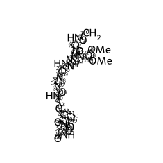 C=CC(=O)Nc1ccc(CN2C(=O)N(c3cc(OC)cc(OC)c3)Cc3cnc(Nc4ccc(N5CCN(CC(=O)NCCCOc6cc7c8c(cccc8c6)C(=O)N(C6CCC(=O)NC6=O)C7=O)CC5)cc4)nc32)cc1